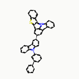 c1ccc(-c2cccc(-n3c4ccccc4c4cc(-c5cc6c7ccccc7n7c6c(c5)c5sc6ccccc6c57)ccc43)c2)cc1